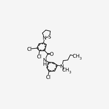 CCCCN(C)c1cc(Cl)cc(NC(=O)c2cc(N3CCCS3)cc(Cl)c2Cl)c1